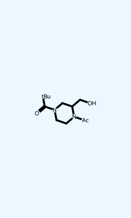 CC(=O)N1CCN(C(=O)C(C)(C)C)CC1CO